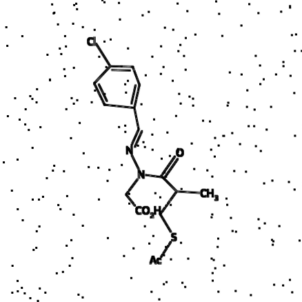 CC(=O)SCC(C)C(=O)N(CC(=O)O)N=Cc1ccc(Cl)cc1